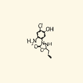 C=CCC1NN(c2cc(O)c(Cl)cc2N)C(=O)O1